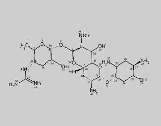 CNC1C(O[C@H]2OC(C)[C@@H](NC(=N)N)CC2O)O[C@H]2CC(N)[C@@H](O[C@H]3CC(O)[C@H](N)CC3N)OC2C1O